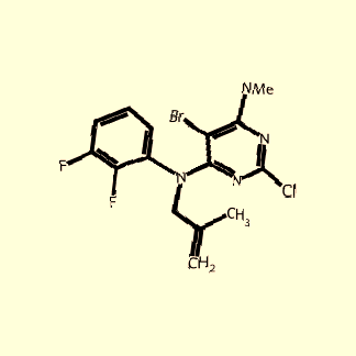 C=C(C)CN(c1cccc(F)c1F)c1nc(Cl)nc(NC)c1Br